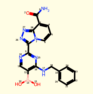 NC(=O)c1cccn2c(-c3ncc(B(O)O)c(NCc4ccccc4)n3)nnc12